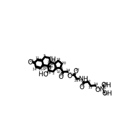 C[C@]12C[C@H](O)C3(F)[C@@H](CCC4=CC(=O)C=C[C@@]43C)C1CCC2C(=O)COC(=O)CNC(=O)CCCON(O)O